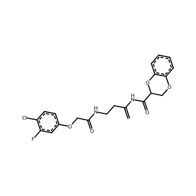 C=C(CCNC(=O)COc1ccc(Cl)c(F)c1)NC(=O)C1COc2ccccc2O1